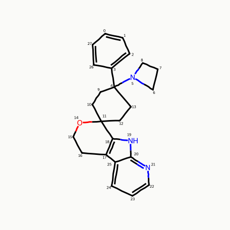 c1ccc(C2(N3CCC3)CCC3(CC2)OCCc2c3[nH]c3ncccc23)cc1